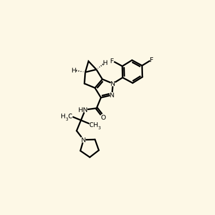 CC(C)(CN1CCCC1)NC(=O)c1nn(-c2ccc(F)cc2F)c2c1C[C@H]1C[C@@H]21